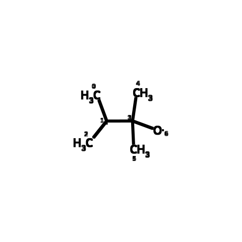 C[C](C)C(C)(C)[O]